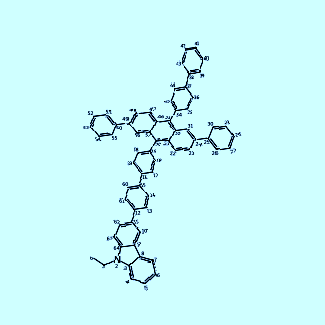 CCn1c2ccccc2c2cc(-c3ccc(-c4ccc(-c5c6ccc(-c7ccccc7)cc6c(-c6ccc(-c7ccccc7)cc6)c6ccc(-c7ccccc7)cc56)cc4)cc3)ccc21